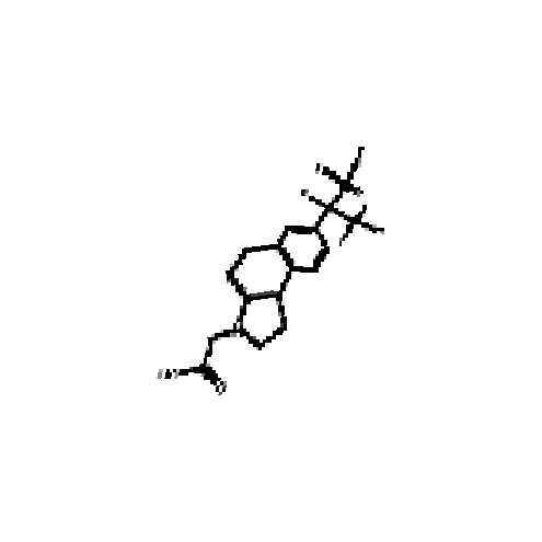 O=C(O)CN1CCC2c3ccc(C(F)(C(F)(F)F)C(F)(F)F)cc3CCC21